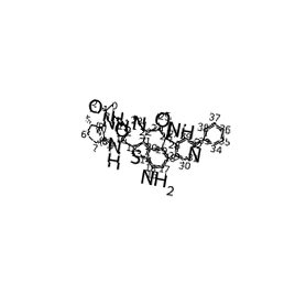 CC(=O)N[C@@H]1CCC[C@@H]1NC(=O)c1sc2c(N)ccc3c2c1C(N)C(=O)C3(N)c1ccnc(-c2ccccc2)c1